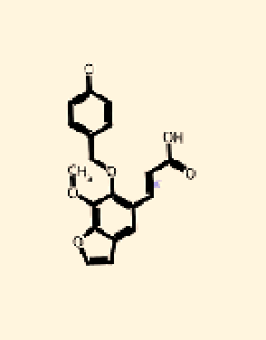 COc1c(OCc2ccc(Cl)cc2)c(/C=C/C(=O)O)cc2ccoc12